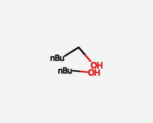 CCCCCO.CCCCO